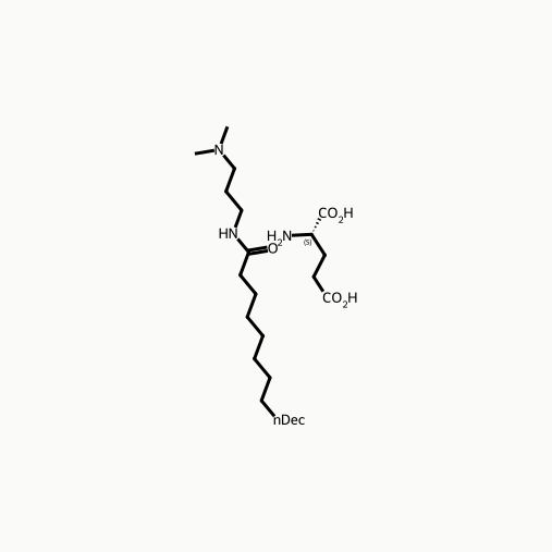 CCCCCCCCCCCCCCCCCC(=O)NCCCN(C)C.N[C@@H](CCC(=O)O)C(=O)O